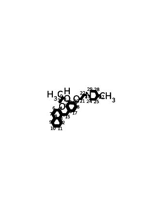 CC(O)COc1ccc2ccccc2c1Cc1ccc(OCCN2CCC(C)CC2)cc1